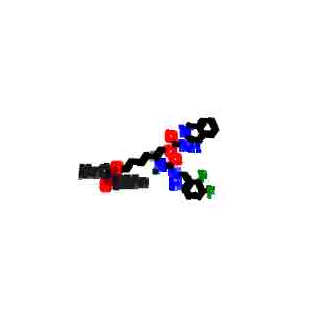 COP(=O)(OC)OCCCC[C@@H](COC(=O)Nc1cc2ccccc2cn1)N(C)C(=O)NCc1cccc(F)c1F